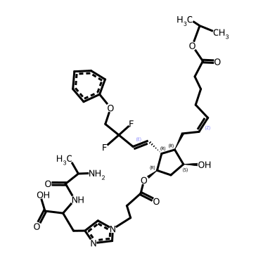 CC(C)OC(=O)CCC/C=C\C[C@@H]1[C@@H](/C=C/C(F)(F)COc2ccccc2)[C@H](OC(=O)CCn2cnc(CC(NC(=O)C(C)N)C(=O)O)c2)C[C@@H]1O